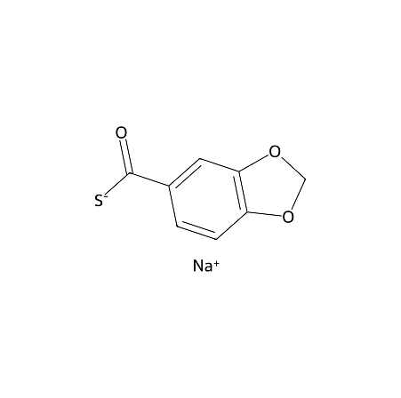 O=C([S-])c1ccc2c(c1)OCO2.[Na+]